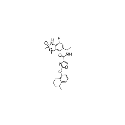 CC1CCCc2c(Oc3nc(C(=O)NC(C)c4cc(F)c(NS(C)(=O)=O)c(F)c4)co3)cccc21